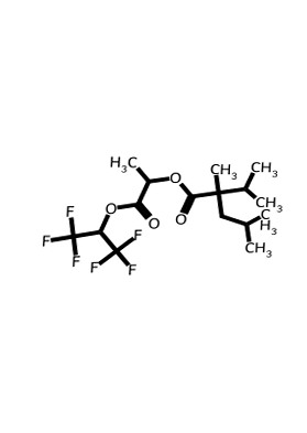 CC(C)CC(C)(C(=O)OC(C)C(=O)OC(C(F)(F)F)C(F)(F)F)C(C)C